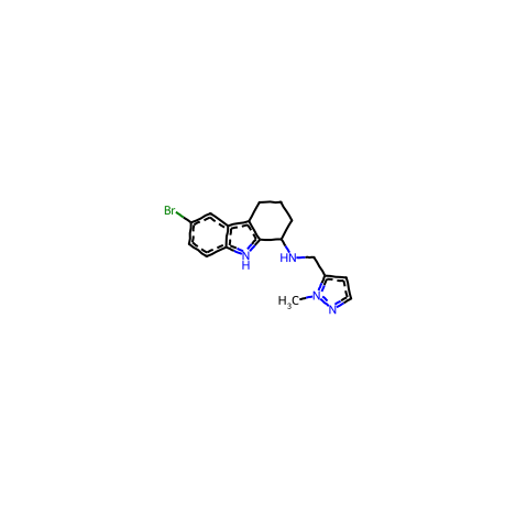 Cn1nccc1CNC1CCCc2c1[nH]c1ccc(Br)cc21